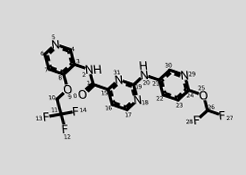 O=C(Nc1cnccc1OCC(F)(F)F)c1ccnc(Nc2ccc(OC(F)F)nc2)n1